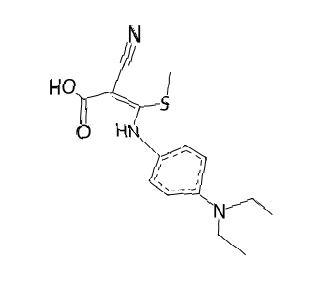 CCN(CC)c1ccc(NC(SC)=C(C#N)C(=O)O)cc1